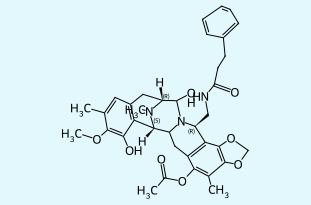 COc1c(C)cc2c(c1O)[C@H]1C3Cc4c(OC(C)=O)c(C)c5c(c4[C@H](CNC(=O)CCc4ccccc4)N3C(O)[C@@H](C2)N1C)OCO5